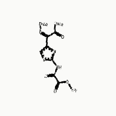 CCCOC(=O)C(=O)Nc1nc(C(=NOC)C(=O)OC)cs1